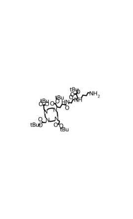 CC(C)(C)OC(=O)CN1CCN(CC(=O)OC(C)(C)C)CCN(C(CCC(=O)NCC(=O)N[C@@H](CCCCN)C(=O)OC(C)(C)C)C(=O)OC(C)(C)C)CCN(CC(=O)OC(C)(C)C)CC1